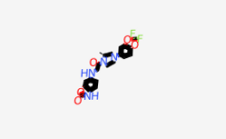 C[C@@H]1CN(c2ccc3c(c2)OC(F)(F)O3)CCN1C(=O)CNc1ccc2[nH]c(=O)oc2c1